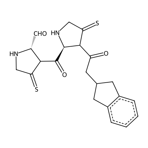 O=C[C@H]1NCC(=S)C1C(=O)[C@H]1NCC(=S)C1C(=O)CC1Cc2ccccc2C1